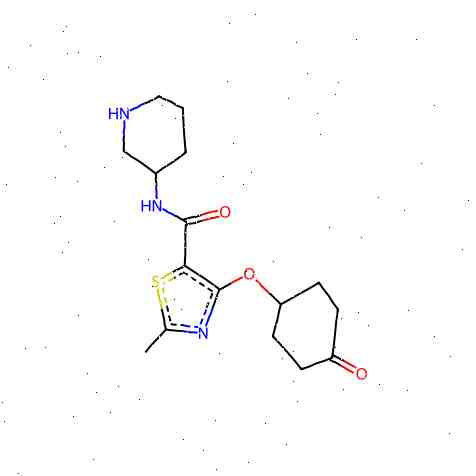 Cc1nc(OC2CCC(=O)CC2)c(C(=O)NC2CCCNC2)s1